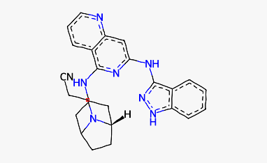 N#CCCN1C2CC[C@H]1CC(Nc1nc(Nc3n[nH]c4ccccc34)cc3ncccc13)C2